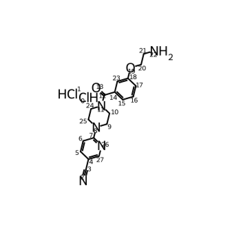 Cl.Cl.N#Cc1ccc(N2CCN(C(=O)c3cccc(OCCN)c3)CC2)nc1